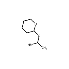 CC(S)OC1CCCCO1